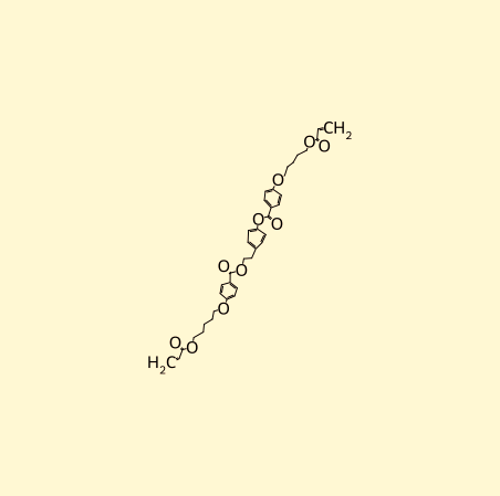 C=CC(=O)OCCCCCOc1ccc(C(=O)OCCc2ccc(OC(=O)c3ccc(OCCCCCOC(=O)C=C)cc3)cc2)cc1